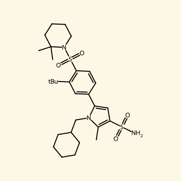 Cc1c(S(N)(=O)=O)cc(-c2ccc(S(=O)(=O)N3CCCCC3(C)C)c(C(C)(C)C)c2)n1CC1CCCCC1